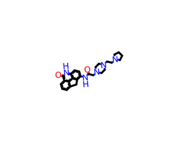 O=C(CN1CCN(CCN2CCCC2)CC1)Nc1ccc2[nH]c(=O)c3cccc4c3c2c1C4